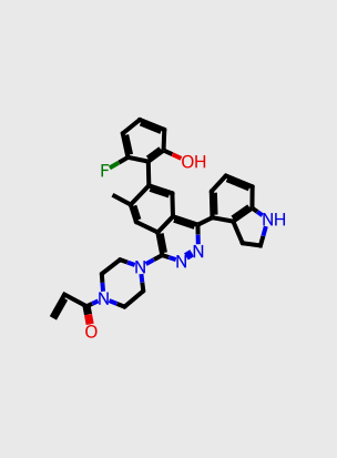 C=CC(=O)N1CCN(c2nnc(-c3cccc4c3CCN4)c3cc(-c4c(O)cccc4F)c(C)cc23)CC1